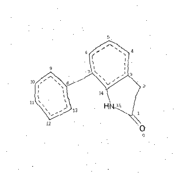 O=C1Cc2cccc(-c3ccccc3)c2N1